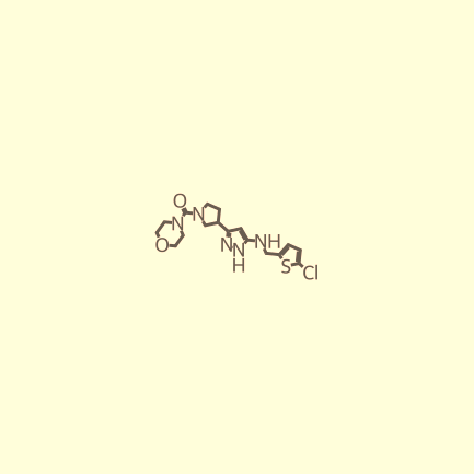 O=C(N1CCOCC1)N1CCC(c2cc(NCc3ccc(Cl)s3)[nH]n2)C1